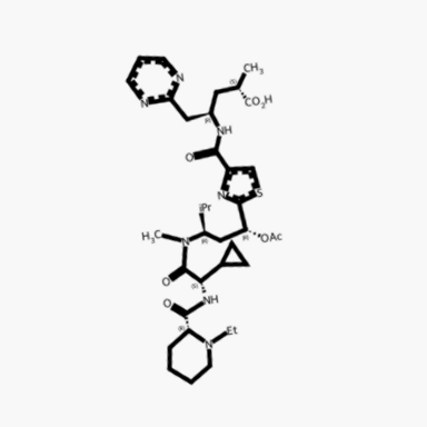 CCN1CCCC[C@@H]1C(=O)N[C@H](C(=O)N(C)[C@H](C[C@@H](OC(C)=O)c1nc(C(=O)N[C@@H](Cc2ncccn2)C[C@H](C)C(=O)O)cs1)C(C)C)C1CC1